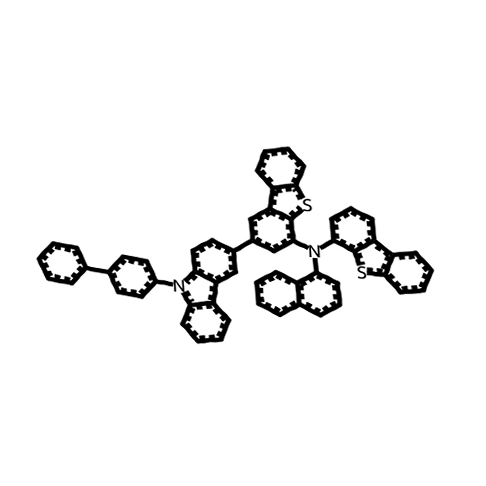 c1ccc(-c2ccc(-n3c4ccccc4c4cc(-c5cc(N(c6cccc7ccccc67)c6cccc7c6sc6ccccc67)c6sc7ccccc7c6c5)ccc43)cc2)cc1